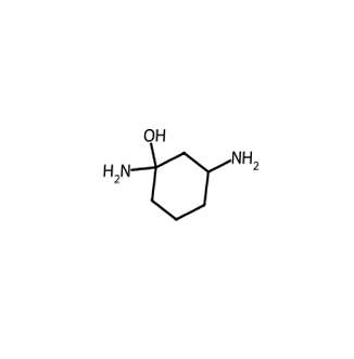 NC1CCCC(N)(O)C1